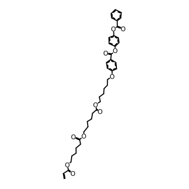 C=CC(=O)OCCCCCC(=O)OCCCCCC(=O)OCCCCCCOc1ccc(C(=O)Oc2ccc(OC(=O)c3ccccc3)cc2)cc1